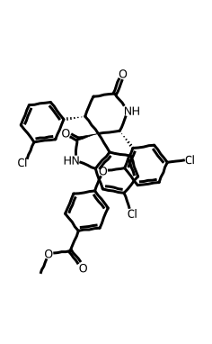 COC(=O)c1ccc(Oc2ccc(Cl)cc2[C@H]2NC(=O)C[C@@H](c3cccc(Cl)c3)[C@]23C(=O)Nc2cc(Cl)ccc23)cc1